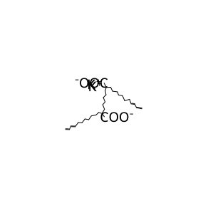 C=CC=CCCCCCCCC(CCCCCCC(CCCCCCCC=CC=C)C(=O)[O-])C(=O)[O-].[K+].[K+]